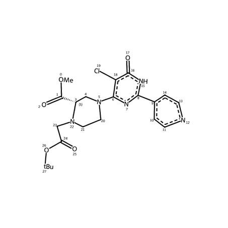 COC(=O)[C@@H]1CN(c2nc(-c3ccncc3)[nH]c(=O)c2Cl)CCN1CC(=O)OC(C)(C)C